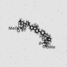 COC(=O)N[C@H](C(=O)N1CC2(CC2)C[C@H]1c1ncc(-c2ccc3c(c2)C(F)(F)c2cc(C4=Cc5[nH]c([C@@H]6[C@H]7CC[C@H](C7)N6C(=O)[C@@H](NC(=O)OC)C(C)C)nc5CC4)ccc2-3)[nH]1)C(C)C